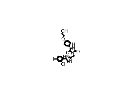 O=C1N[C@H](c2ccc(OCCO)cc2)C(=O)N1Cc1ncc(-c2ccc(I)cc2Cl)[nH]1